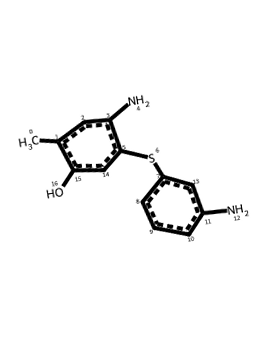 Cc1cc(N)c(Sc2cccc(N)c2)cc1O